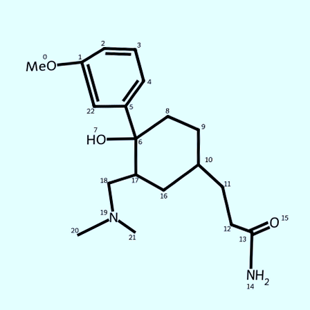 COc1cccc(C2(O)CCC(CCC(N)=O)CC2CN(C)C)c1